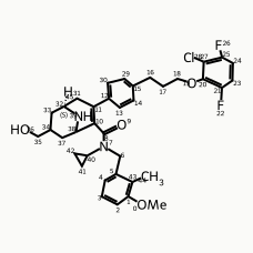 COc1cccc(CN(C(=O)C2=C(c3ccc(CCCOc4c(F)ccc(F)c4Cl)cc3)C[C@@H]3CC(CO)CC2N3)C2CC2)c1C